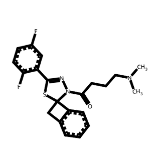 CN(C)CCCC(=O)N1N=C(c2cc(F)ccc2F)SC12Cc1ccccc12